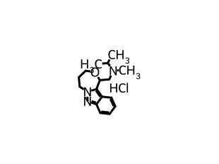 CC(C)N(C)CC1OCCCn2nc3ccccc3c21.Cl